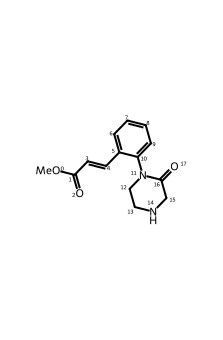 COC(=O)/C=C/c1ccccc1N1CCNCC1=O